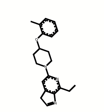 CCc1nc(N2CCC(Oc3ccccc3C)CC2)cc2c1N=CC2